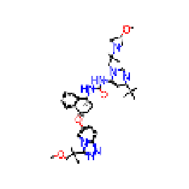 COCC(C)(C)c1nnc2ccc(O[C@@H]3CC[C@H](NC(=O)NC4=CC(C(C)(C)C)=NCN4CC(C)(C)N4CC(OC)C4)c4ccccc43)cn12